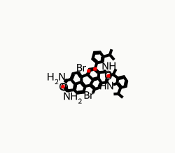 CC(C)c1cccc(C(C)C)c1NC(=O)c1ccc2c3c(Br)cc(C(N)=O)c4c(C(N)=O)ccc(c5c(Br)cc(C(=O)Nc6c(C(C)C)cccc6C(C)C)c1c25)c43